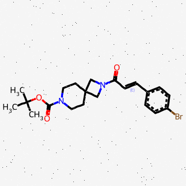 CC(C)(C)OC(=O)N1CCC2(CC1)CN(C(=O)/C=C/c1ccc(Br)cc1)C2